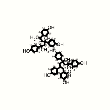 C=C(CC(C)(CC(C)(C)c1ccc(O)cc1)c1ccc(O)cc1)c1ccc(O)cc1.CC(C)(CC(C)(CC(Cc1c(O)cc(O)cc1O)c1ccc(O)cc1)c1ccc(O)cc1)c1ccc(O)cc1